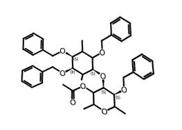 CC(=O)OC1C(C)OC(C)[C@H](OCc2ccccc2)[C@@H]1O[C@@H]1C(OCc2ccccc2)C(C)[C@H](OCc2ccccc2)[C@H](OCc2ccccc2)C1C